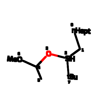 CCCCCCCC[SiH](OC(C)OC)C(C)(C)C